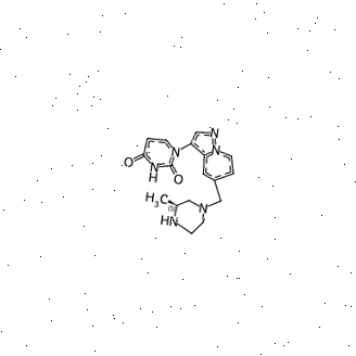 C[C@H]1CN(Cc2ccn3ncc(-n4ccc(=O)[nH]c4=O)c3c2)CCN1